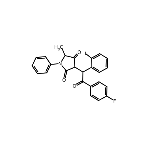 CC1C(=O)C(C(C(=O)c2ccc(F)cc2)c2ccccc2I)C(=O)N1c1ccccc1